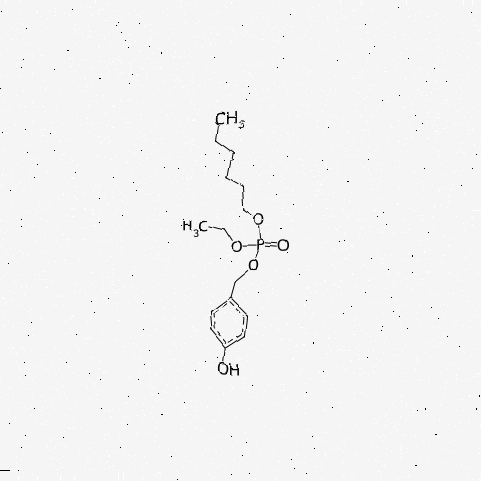 CCCCCCOP(=O)(OCC)OCc1ccc(O)cc1